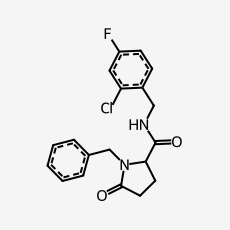 O=C(NCc1ccc(F)cc1Cl)C1CCC(=O)N1Cc1ccccc1